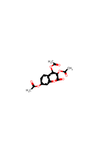 CC(=O)Oc1ccc2c(OC(C)=O)c(OC(C)=O)c(=O)oc2c1